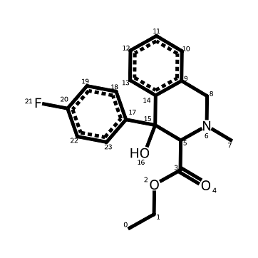 CCOC(=O)C1N(C)Cc2ccccc2C1(O)c1ccc(F)cc1